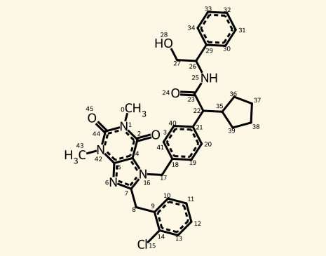 Cn1c(=O)c2c(nc(Cc3ccccc3Cl)n2Cc2ccc(C(C(=O)NC(CO)c3ccccc3)C3CCCC3)cc2)n(C)c1=O